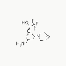 NCc1cccc(N2CCOCC2)c1.O=C(O)C(F)(F)F